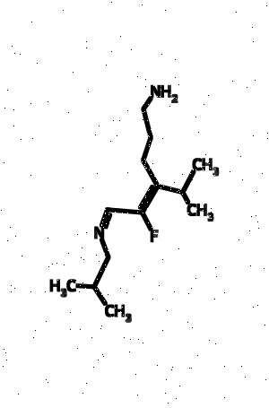 CC(C)C/N=C\C(F)=C(/CCCN)C(C)C